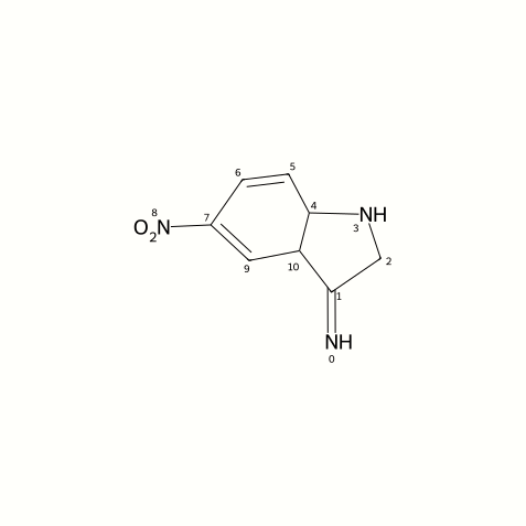 N=C1CNC2C=CC([N+](=O)[O-])=CC12